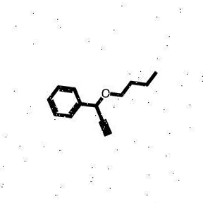 C#CC(OCCCC)c1ccccc1